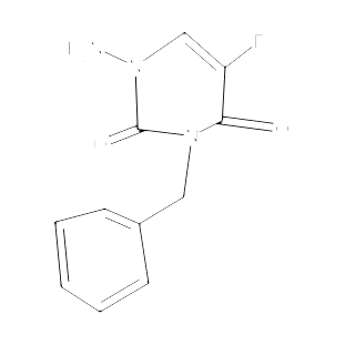 Nn1cc(F)c(=O)n(Cc2ccccc2)c1=O